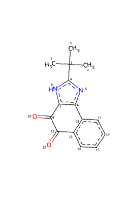 CC(C)(C)c1nc2c([nH]1)C(=O)C(=O)c1ccccc1-2